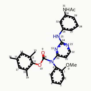 COc1ccccc1N(C(=O)Oc1c(C)cc(C)cc1C)c1ccnc(Nc2cccc(NC(C)=O)c2)n1